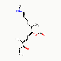 CCC(=O)/C(C)=C/C=C(\OC=O)C(C)CC/C=C/NC